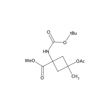 COC(=O)C1(NC(=O)OC(C)(C)C)CC(C)(OC(C)=O)C1